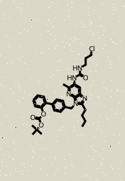 CCCCc1nc2cc(NC(=O)NCCCCl)c(C)nc2n1Cc1ccc(-c2ccccc2OC(=O)OC(C)(C)C)cc1